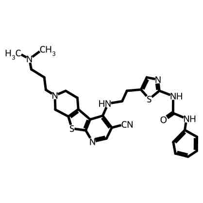 CN(C)CCCN1CCc2c(sc3ncc(C#N)c(NCCc4cnc(NC(=O)Nc5ccccc5)s4)c23)C1